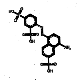 Nc1ccc(N=Nc2ccc(S(=O)(=O)O)cc2S(=O)(=O)O)c2ccc(S(=O)(=O)O)cc12